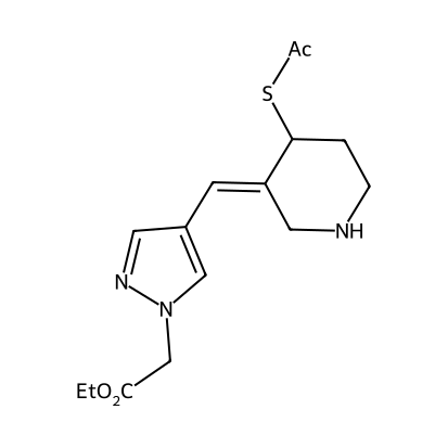 CCOC(=O)Cn1cc(/C=C2\CNCCC2SC(C)=O)cn1